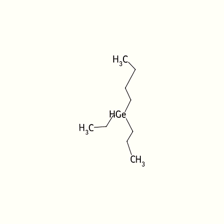 CCC[CH2][GeH]([CH2]CC)[CH2]CC